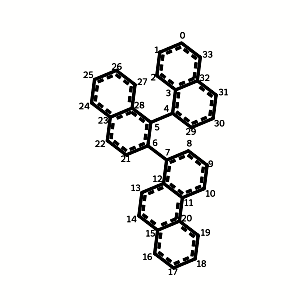 c1ccc2c(-c3c(-c4cccc5c4ccc4ccccc45)ccc4ccccc34)cccc2c1